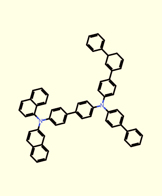 C1=CC(c2ccc(N(c3ccc(-c4ccccc4)cc3)c3ccc(-c4ccc(N(c5ccc6ccccc6c5)c5cccc6ccccc56)cc4)cc3)cc2)=CC(c2ccccc2)C1